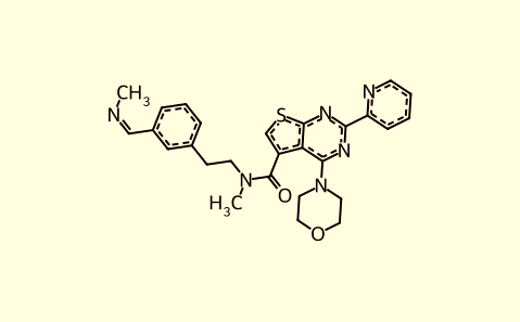 C/N=C\c1cccc(CCN(C)C(=O)c2csc3nc(-c4ccccn4)nc(N4CCOCC4)c23)c1